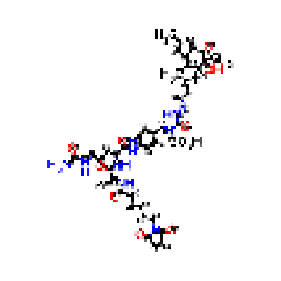 CC1=CC2=C(C)C3(CC3CCC=NNC(=O)N(Cc3ccc(NC(=O)[C@H](CCCNC(N)=O)NC(=O)[C@@H](NC(=O)CCCCCN4C(=O)C=CC4=O)C(C)C)cc3)C(=O)O)C(C)(O)C(=O)C2=C1